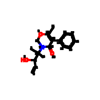 C=CC(O)C(C)(C)N1COC(C)=C(c2ccccc2)C1=O